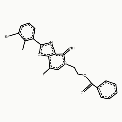 Cc1c(Br)cccc1-c1nc2c(=N)n(CCOC(=O)c3ccccc3)cc(I)c2o1